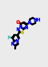 Cc1cn2cc(-c3nn4c(=O)cc(N5CCNCC5)nc4s3)cc(F)c2n1